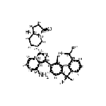 Cc1cc(C(C)(F)c2cccc(C(F)F)c2)ccc1-c1nc([C@@H]2CC[C@H]3CCC(=O)N3C2)n2ccnc(N)c12